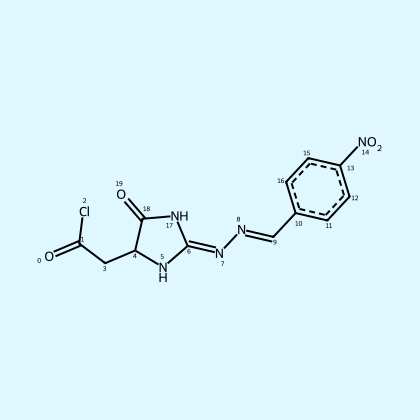 O=C(Cl)CC1NC(=NN=Cc2ccc([N+](=O)[O-])cc2)NC1=O